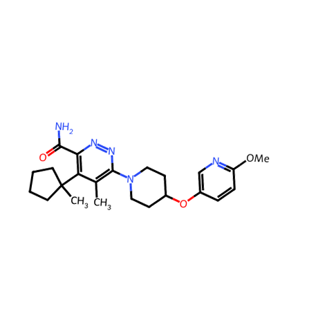 COc1ccc(OC2CCN(c3nnc(C(N)=O)c(C4(C)CCCC4)c3C)CC2)cn1